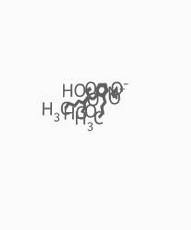 CCCCC(C(=O)O)=C(Oc1cccc([N+](=O)[O-])c1CCCC)C(=O)O